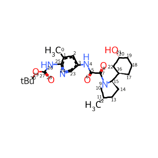 Cc1cc(NC(=O)C(=O)N2C[C@@H](C)CC[C@@H]2[C@@H]2CCC[C@@H](O)C2)cnc1NC(=O)OC(C)(C)C